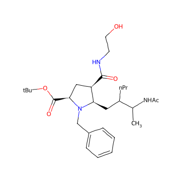 CCCC(C[C@@H]1[C@H](C(=O)NCCO)C[C@H](C(=O)OC(C)(C)C)N1Cc1ccccc1)C(C)NC(C)=O